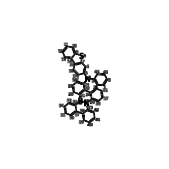 c1ccc(-n2c3cc4sc5ccccc5c4cc3c3ccc4c(c32)-c2ccccc2N2B4c3ccccc3-c3ccccc32)cc1